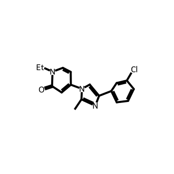 CCn1ccc(-n2cc(-c3cccc(Cl)c3)nc2C)cc1=O